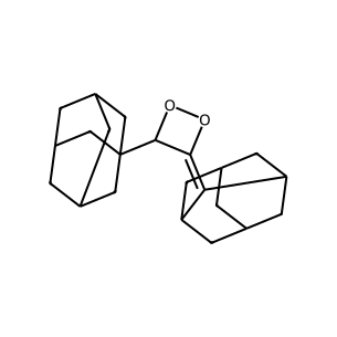 C1C2CC3CC1CC(C2)C3=C1OOC1C12CC3CC(CC(C3)C1)C2